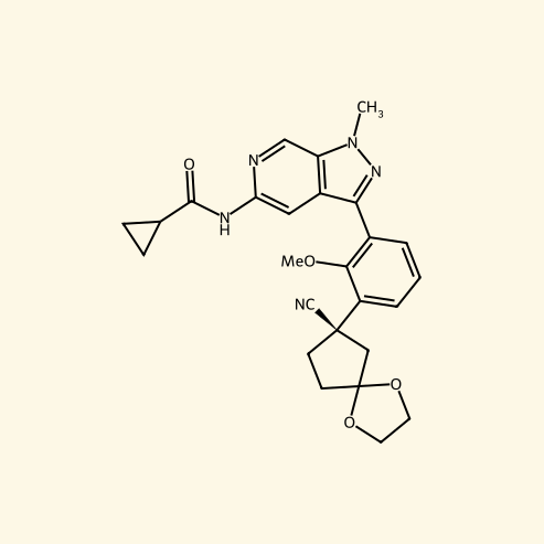 COc1c(-c2nn(C)c3cnc(NC(=O)C4CC4)cc23)cccc1[C@@]1(C#N)CCC2(C1)OCCO2